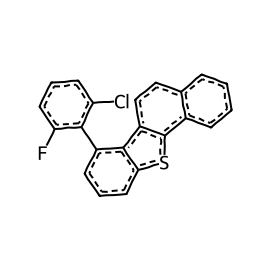 Fc1cccc(Cl)c1-c1cccc2sc3c4ccccc4ccc3c12